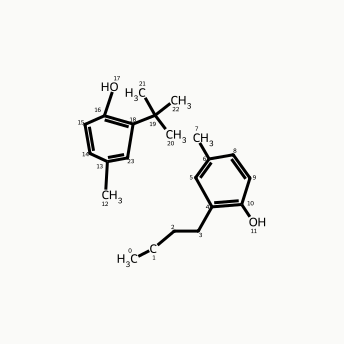 CCCCc1cc(C)ccc1O.Cc1ccc(O)c(C(C)(C)C)c1